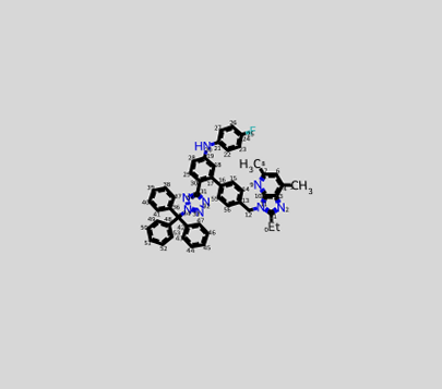 CCc1nc2c(C)cc(C)nc2n1Cc1ccc(-c2cc(Nc3ccc(F)cc3)ccc2-c2nnn(C(c3ccccc3)(c3ccccc3)c3ccccc3)n2)cc1